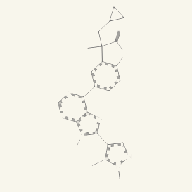 CCn1ncc(-c2nc3c(-c4ccc5c(c4)C(C)(CC4CC4)C(=O)N5)ncnc3n2CC)c1C